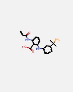 C=CC(=O)Nc1cccc(Nc2cccc(C(C)(C)P)c2)c1C(=O)O